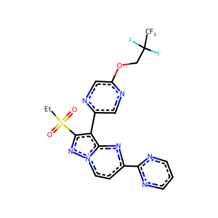 CCS(=O)(=O)c1nn2ccc(-c3ncccn3)nc2c1-c1cnc(OCC(F)(F)C(F)(F)F)cn1